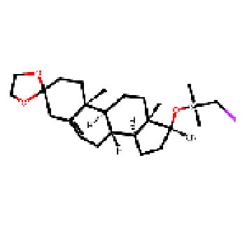 C[C@]12CCC3(CC1=CC[C@@H]1[C@@H]2CC[C@@]2(C)[C@H]1CC[C@@]2(C#N)O[Si](C)(C)CI)OCCO3